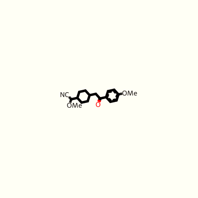 COc1ccc(C(=O)CC2CCC(C(C#N)OC)CC2)cc1